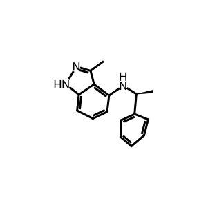 Cc1n[nH]c2cccc(N[C@@H](C)c3ccccc3)c12